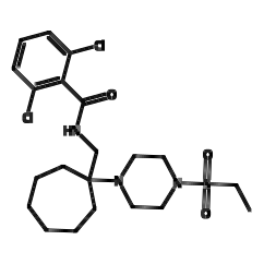 CCS(=O)(=O)N1CCN(C2(CNC(=O)c3c(Cl)cccc3Cl)CCCCCC2)CC1